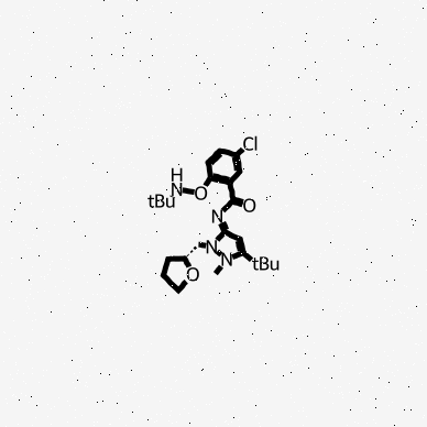 Cn1c(C(C)(C)C)cc(=NC(=O)c2cc(Cl)ccc2ONC(C)(C)C)n1C[C@H]1CCCO1